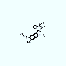 CCSC(SCC)[C@@H]1CCCN1C(=O)c1cc2cc(OCCCl)c(C)cc2cc1[N+](=O)[O-]